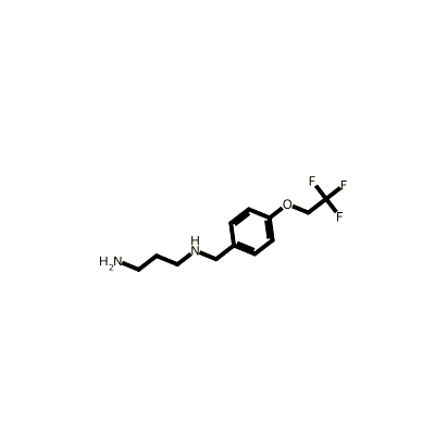 NCCCNCc1ccc(OCC(F)(F)F)cc1